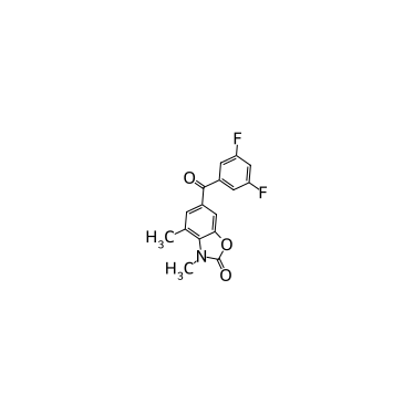 Cc1cc(C(=O)c2cc(F)cc(F)c2)cc2oc(=O)n(C)c12